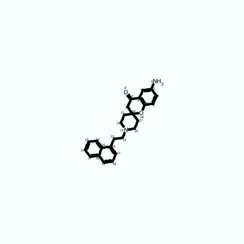 Nc1ccc2c(c1)C(=O)CC1(CCN(CCc3cccc4ccccc34)CC1)O2